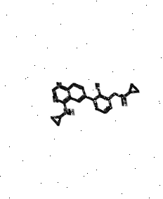 Fc1c(CNC2CC2)cccc1-c1ccc2ncnc(NC3CC3)c2c1